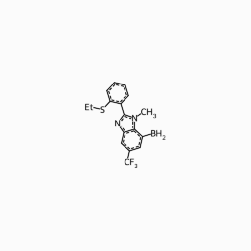 Bc1cc(C(F)(F)F)cc2nc(-c3ccccc3SCC)n(C)c12